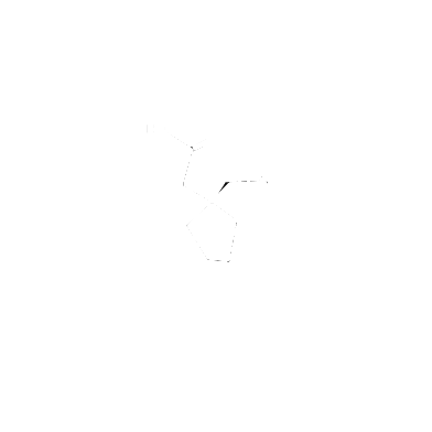 C[C@H]1CC[C@@](CN)(CC(=O)O)C1